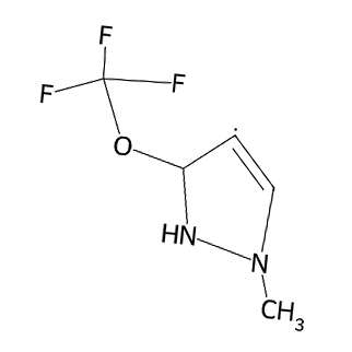 CN1C=[C]C(OC(F)(F)F)N1